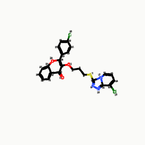 O=c1c(OCCCSc2nnc3c(Cl)cccn23)c(-c2ccc(Cl)cc2)oc2ccccc12